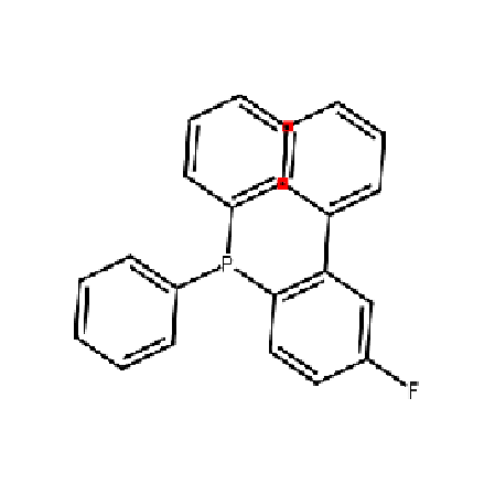 Fc1ccc(P(c2ccccc2)c2ccccc2)c(-c2ccccc2)c1